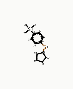 C[Si](C)(C)c1ccc(SC2CCCC2)cc1